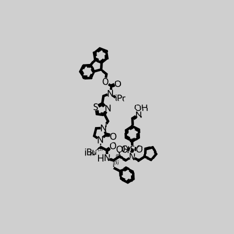 CC[C@H](C)[C@@H](C(=O)N[C@@H](Cc1ccccc1)[C@H](O)CN(CC1CCCC1)S(=O)(=O)c1ccc(C=NO)cc1)N1CCN(Cc2csc(CN(C(=O)OCC3c4ccccc4-c4ccccc43)C(C)C)n2)C1=O